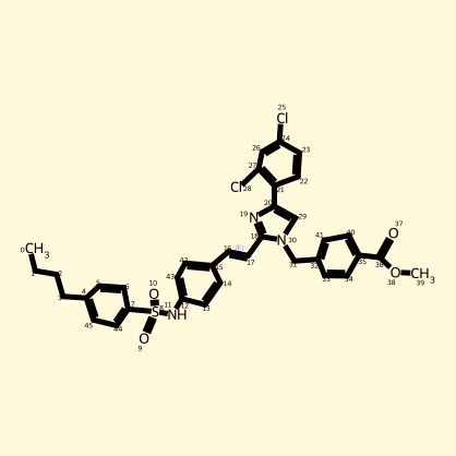 CCCCc1ccc(S(=O)(=O)Nc2ccc(/C=C/c3nc(-c4ccc(Cl)cc4Cl)cn3Cc3ccc(C(=O)OC)cc3)cc2)cc1